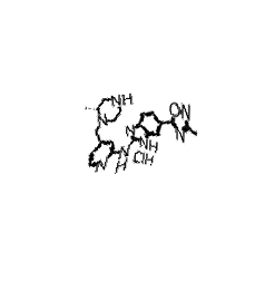 Cc1noc(-c2ccc3nc(Nc4cc(CN5CCNC[C@H]5C)ccn4)[nH]c3c2)n1.Cl